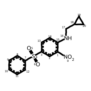 O=[N+]([O-])c1cc(S(=O)(=O)c2ccccc2)ccc1NCC1CC1